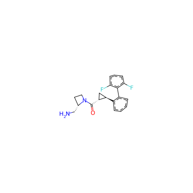 NC[C@@H]1CCN1C(=O)[C@@H]1C[C@H]1c1ccccc1-c1c(F)cccc1F